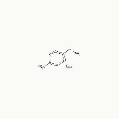 NCc1ccc(S(=O)(=O)O)cc1.[NaH]